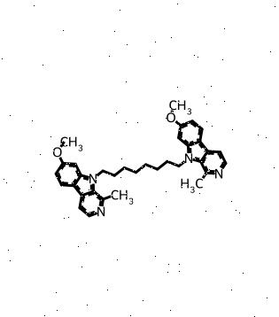 COc1ccc2c3ccnc(C)c3n(CCCCCCCCn3c4cc(OC)ccc4c4ccnc(C)c43)c2c1